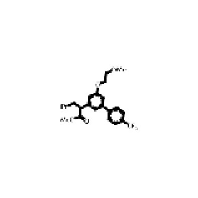 COCCOc1cc(-c2ccc(C(F)(F)F)cc2)cc(C(CC(C)C)C(=O)OC)c1